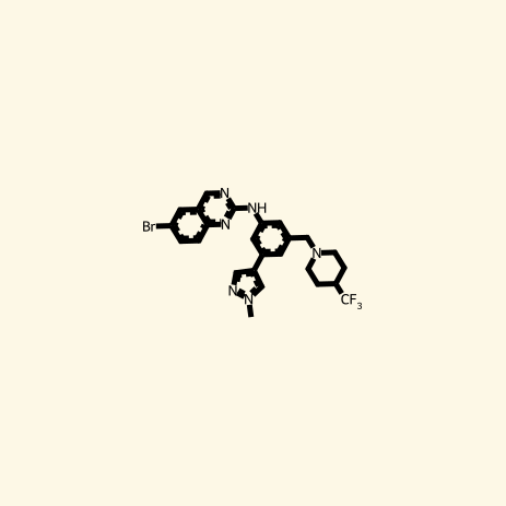 Cn1cc(-c2cc(CN3CCC(C(F)(F)F)CC3)cc(Nc3ncc4cc(Br)ccc4n3)c2)cn1